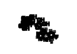 Nc1ncnc2c1c(-c1ccc(F)cc1)cn2[C@@H]1O[C@H](COP(=O)(O)OP(=O)(O)OP(=O)(O)O)C(O)C1O